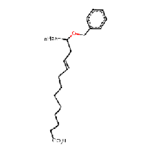 CCCCCCC(CC=CCCCCCCCC(=O)O)OCc1ccccc1